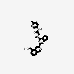 Cc1ccc(NC(=O)CN(C)c2nc(-c3cc4c(CO)cccc4cn3)nc3c2CCC3)cn1